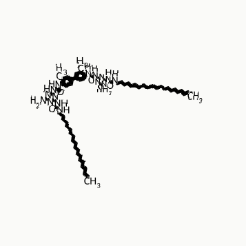 CCCCCCCCCCCCCCCCCCCCCNC(=O)Nc1nc(N)nc(NC(=O)Nc2ccc(-c3ccc(NC(=O)Nc4nc(N)nc(NC(=O)NCCCCCCCCCCCCCCCCCCCCC)n4)c(C)c3)cc2C)n1